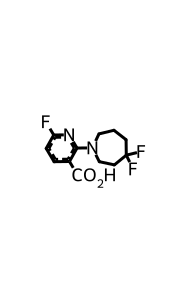 O=C(O)c1ccc(F)nc1N1CCCC(F)(F)CC1